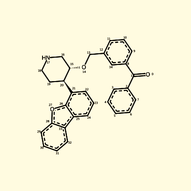 O=C(c1ccccc1)c1cccc(CO[C@H]2CNCC[C@@H]2c2cccc3c2oc2ccccc23)c1